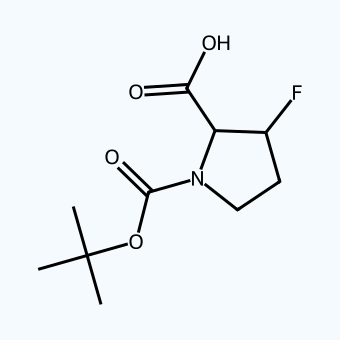 CC(C)(C)OC(=O)N1CCC(F)C1C(=O)O